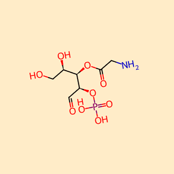 NCC(=O)O[C@H]([C@H](O)CO)[C@H](C=O)OP(=O)(O)O